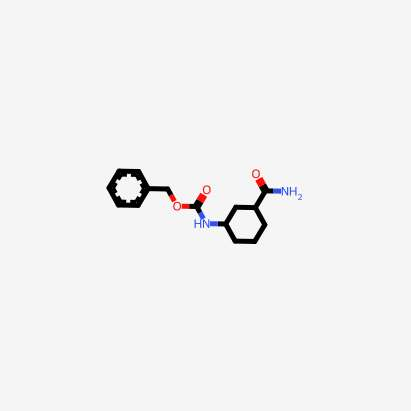 NC(=O)C1CCCC(NC(=O)OCc2ccccc2)C1